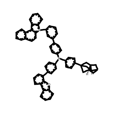 c1cc(-c2ccc(N(c3ccc(-c4cccc5c4oc4ccccc45)cc3)c3ccc(C45C[C@@H]6CC7CC6(C4)[C@@H]7C5)cc3)cc2)cc(-n2c3ccccc3c3c4ccccc4ccc32)c1